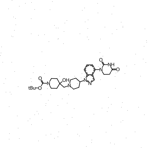 CC(C)(C)OC(=O)N1CCC(O)(CN2CCC(n3ncc4c(N5CCC(=O)NC5=O)cccc43)CC2)CC1